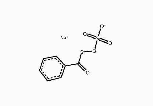 O=C(SOS(=O)(=O)[O-])c1ccccc1.[Na+]